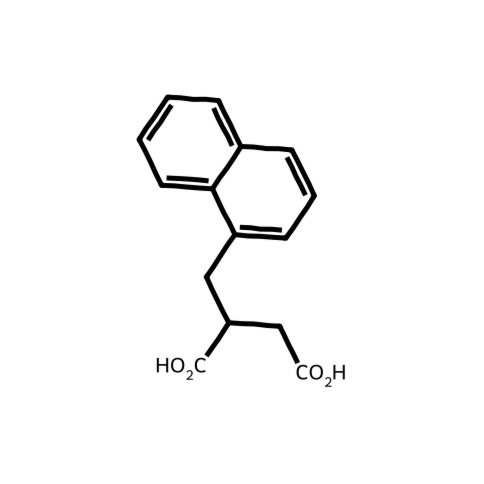 O=C(O)CC(Cc1cccc2ccccc12)C(=O)O